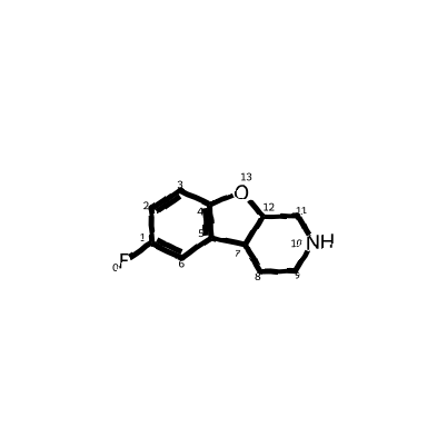 Fc1ccc2c(c1)C1CCNCC1O2